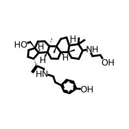 C=C(CNCCc1ccc(O)cc1)[C@@H]1CC[C@]2(CO)CC[C@]3(C)[C@H](CC[C@@H]4[C@@]5(C)CCC(NCCO)C(C)(C)[C@@H]5CC[C@]43C)[C@@H]12